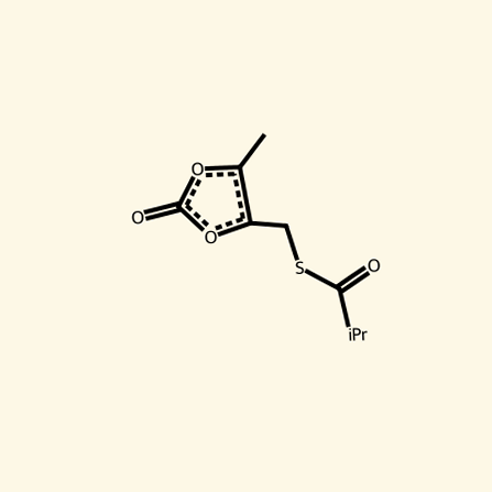 Cc1oc(=O)oc1CSC(=O)C(C)C